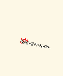 CCCCCCCCCCCCCCCCCCC(O)([C]=O)CO